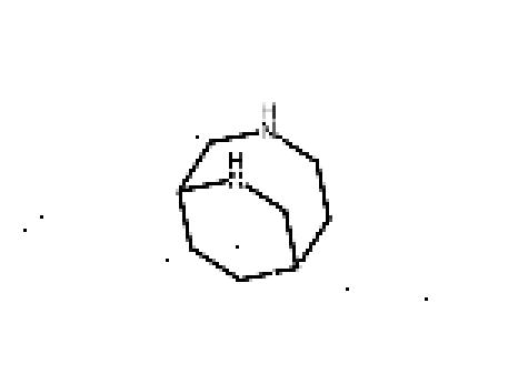 C1CC2CCC(CN1)NC2